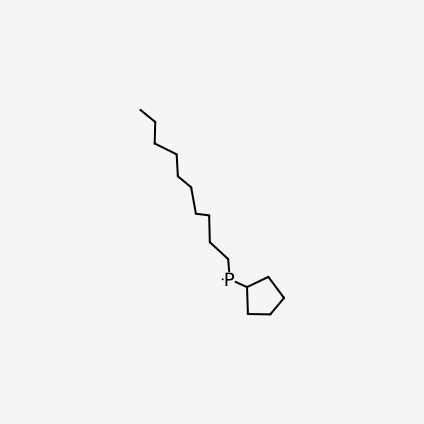 CCCCCCCCCC[P]C1CCCC1